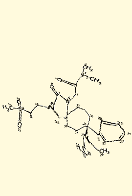 CN(C)C(=O)CN1C(=O)N(CCS(C)(=O)=O)C[C@]12CC[C@](c1ccccc1)(N(C)C)CC2